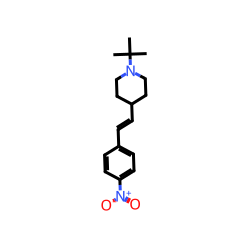 CC(C)(C)N1CCC(/C=C/c2ccc([N+](=O)[O-])cc2)CC1